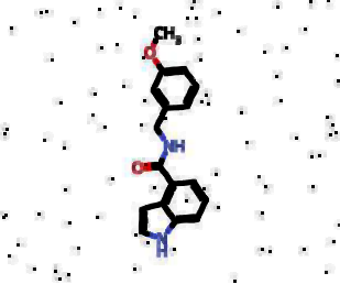 COc1cccc(CNC(=O)c2cccc3[nH]ccc23)c1